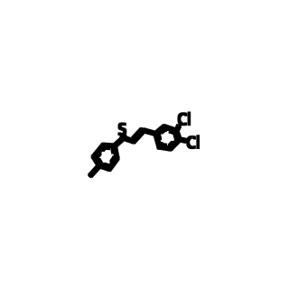 Cc1ccc(C(=S)C=Cc2ccc(Cl)c(Cl)c2)cc1